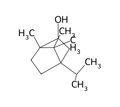 CC(C)C12CCC(C)(C(O)C1)C2(C)C